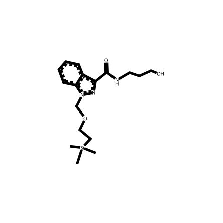 C[Si](C)(C)CCOCn1nc(C(=O)NCCCO)c2ccccc21